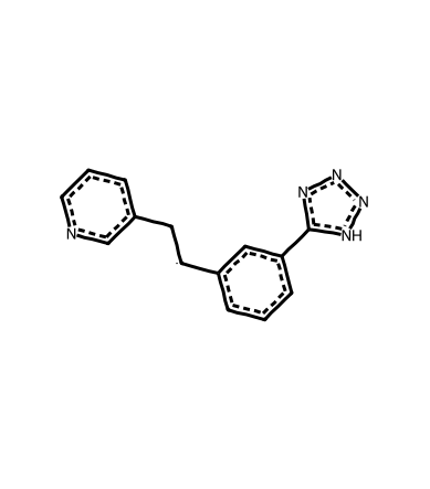 [CH](Cc1cccnc1)c1cccc(-c2nnn[nH]2)c1